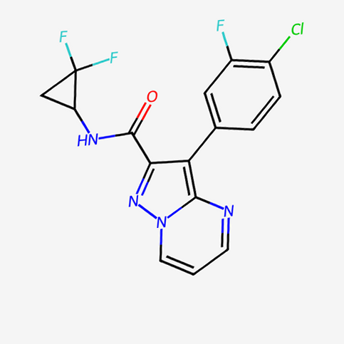 O=C(NC1CC1(F)F)c1nn2cccnc2c1-c1ccc(Cl)c(F)c1